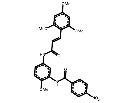 COc1cc(OC)c(/C=C/C(=O)Nc2ccc(OC)c(NC(=O)c3ccc([N+](=O)[O-])cc3)c2)c(OC)c1